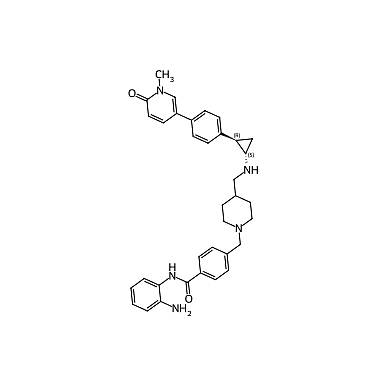 Cn1cc(-c2ccc([C@H]3C[C@@H]3NCC3CCN(Cc4ccc(C(=O)Nc5ccccc5N)cc4)CC3)cc2)ccc1=O